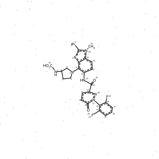 CC(C)c1nc2c(N3CCC(NC(=O)O)C3)c(NC(=O)c3ccc(=O)n(-c4c(F)cccc4F)n3)ccc2n1C